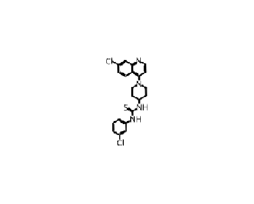 S=C(Nc1cccc(Cl)c1)NC1CCN(c2ccnc3cc(Cl)ccc23)CC1